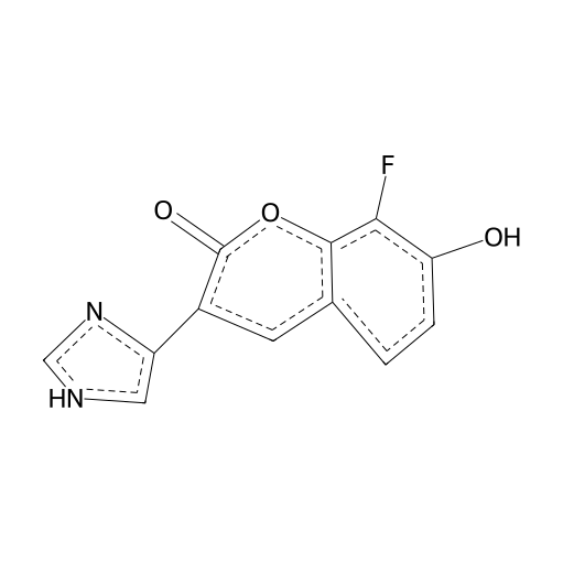 O=c1oc2c(F)c(O)ccc2cc1-c1c[nH]cn1